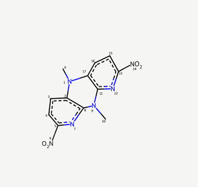 CN1c2ccc([N+](=O)[O-])nc2N(C)c2nc([N+](=O)[O-])ccc21